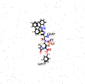 CON=C(C(=O)NC1S[C@H]2CC(=O)N2C(C(=O)OCc2ccc(OC)cc2)=C1OS(=O)(=O)C(F)(F)F)c1csc(NC(c2ccccc2)(c2ccccc2)c2ccccc2)n1